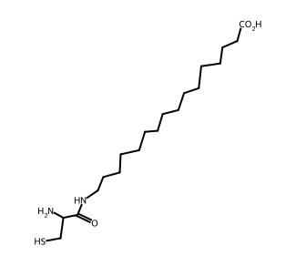 NC(CS)C(=O)NCCCCCCCCCCCCCCCC(=O)O